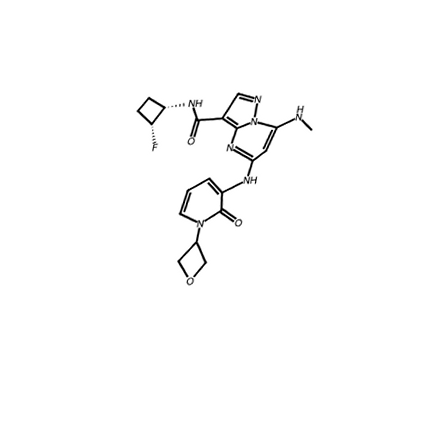 CNc1cc(Nc2cccn(C3COC3)c2=O)nc2c(C(=O)N[C@H]3CC[C@H]3F)cnn12